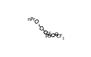 CCC[C@H]1CC[C@H](CCC2CCC(c3ccc(C(F)(F)Oc4ccc(OC(F)(F)F)cc4)cc3)CC2)CC1